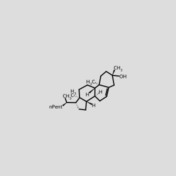 CCCCC[C@@H](C)[C@H]1CC[C@H]2[C@@H]3CC=C4C[C@@](C)(O)CC[C@]4(C)[C@H]3CC[C@]12C